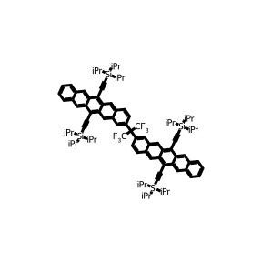 CC(C)[Si](C#Cc1c2cc3ccccc3cc2c(C#C[Si](C(C)C)(C(C)C)C(C)C)c2cc3cc(C(c4ccc5cc6c(C#C[Si](C(C)C)(C(C)C)C(C)C)c7cc8ccccc8cc7c(C#C[Si](C(C)C)(C(C)C)C(C)C)c6cc5c4)(C(F)(F)F)C(F)(F)F)ccc3cc12)(C(C)C)C(C)C